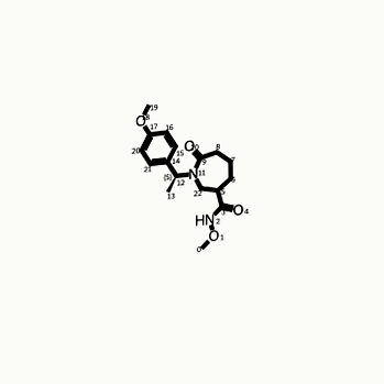 CONC(=O)C1CCCC(=O)N([C@@H](C)c2ccc(OC)cc2)C1